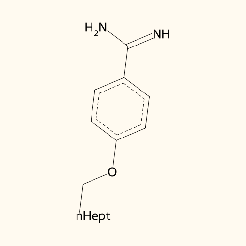 CCCCCCCCOc1ccc(C(=N)N)cc1